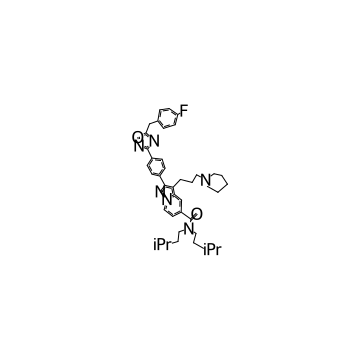 CC(C)CCN(CCC(C)C)C(=O)c1ccn2nc(-c3ccc(-c4noc(Cc5ccc(F)cc5)n4)cc3)c(CCCN3CCCCC3)c2c1